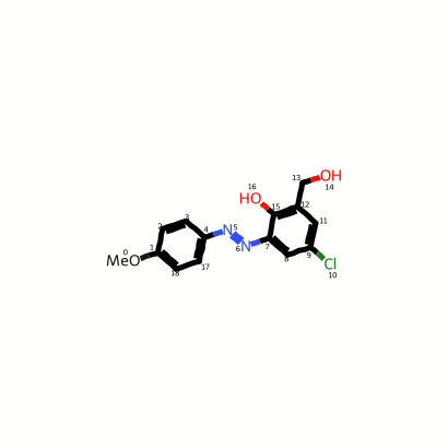 COc1ccc(N=Nc2cc(Cl)cc(CO)c2O)cc1